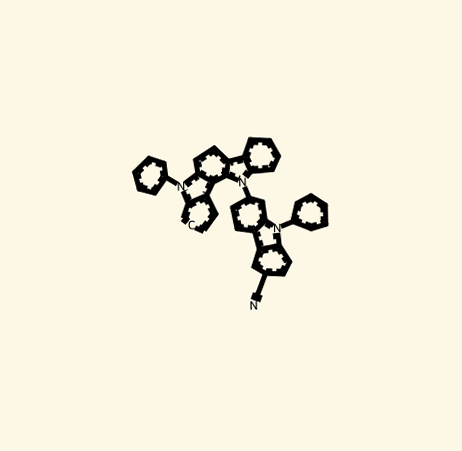 N#Cc1ccc2c(c1)c1ccc(-n3c4ccccc4c4ccc5c(c6ccccc6n5-c5ccccc5)c43)cc1n2-c1ccccc1